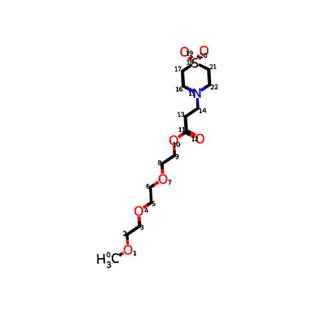 COCCOCCOCCOC(=O)CCN1CCS(=O)(=O)CC1